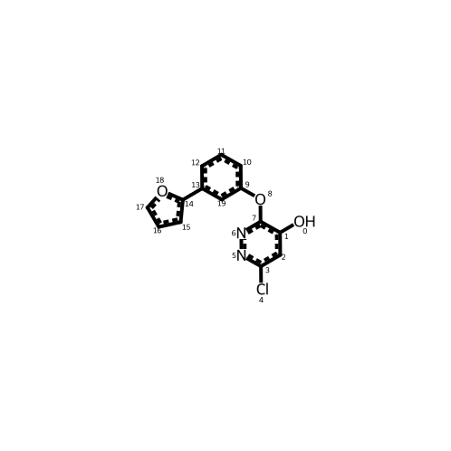 Oc1cc(Cl)nnc1Oc1cccc(-c2ccco2)c1